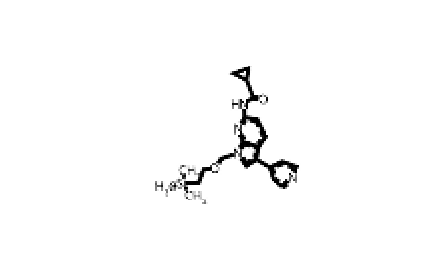 C[Si](C)(C)CCOCn1cc(-c2ccncc2)c2ccc(NC(=O)C3CC3)nc21